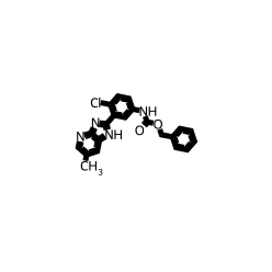 Cc1cnc2nc(-c3cc(NC(=O)OCc4ccccc4)ccc3Cl)[nH]c2c1